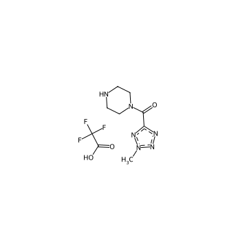 Cn1nnc(C(=O)N2CCNCC2)n1.O=C(O)C(F)(F)F